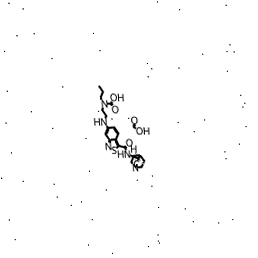 CCCN(CCNc1ccc2c(C(=O)N[C@@H]3CN4CCC3CC4)snc2c1)C(=O)O.O=CO